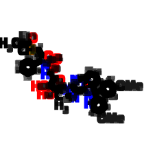 CCC(C)(C)C(=O)SCCOP(=O)(NCc1ccccc1)OC[C@H]1O[C@@H](n2cnc3c(NC(c4ccccc4)(c4ccc(OC)cc4)c4ccc(OC)cc4)ncnc32)C(C)(O)[C@H]1O